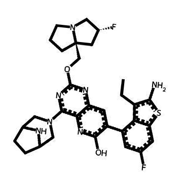 CCc1c(N)sc2cc(F)cc(-c3cc4nc(OC[C@@]56CCCN5C[C@H](F)C6)nc(N5CC6CCC(C5)N6)c4nc3O)c12